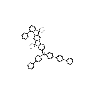 CCC1(CC)c2cc(N(c3ccc(-c4ccccc4)cc3)c3ccc(-c4ccc(-c5ccccc5)cc4)cc3)ccc2-c2cc3c(cc21)-c1c(-c2ccccc2)cccc1C3(CC)CC